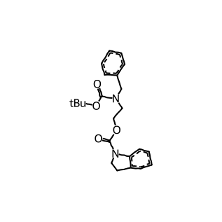 CC(C)(C)OC(=O)N(CCOC(=O)N1CCc2ccccc21)Cc1ccccc1